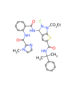 CCOC(=O)N1c2sc(C(=O)NC(C)(C)c3ccccc3)cc2C(NC(=O)c2ccccc2NC(=O)c2nccn2C)N1F